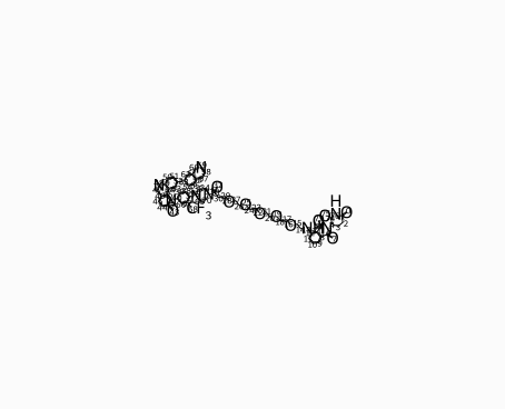 O=C1CCC(N2C(=O)c3cccc(NCCOCCOCCOCCOCCOCCC(=O)N4CCN(c5ccc(-n6c(=O)ccc7cnc8ccc(-c9ccc%10ccncc%10c9)cc8c76)cc5C(F)(F)F)CC4)c3C2=O)C(=O)N1